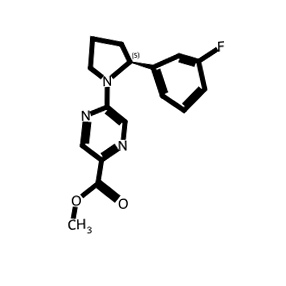 COC(=O)c1cnc(N2CCC[C@H]2c2cccc(F)c2)cn1